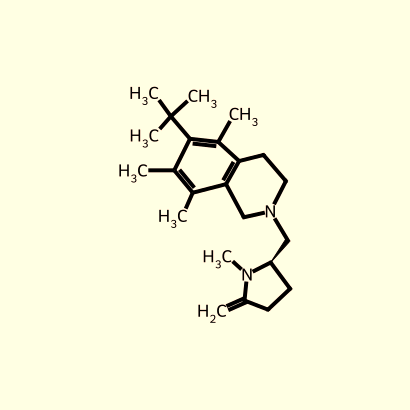 C=C1CC[C@H](CN2CCc3c(C)c(C(C)(C)C)c(C)c(C)c3C2)N1C